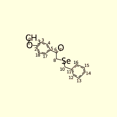 COc1ccc(C(=O)C[Se]Cc2ccccc2)cc1